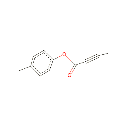 CC#CC(=O)Oc1ccc(C)cc1